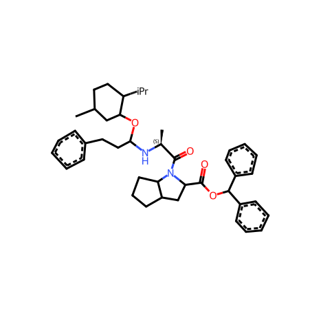 CC1CCC(C(C)C)C(OC(CCc2ccccc2)N[C@@H](C)C(=O)N2C(C(=O)OC(c3ccccc3)c3ccccc3)CC3CCCC32)C1